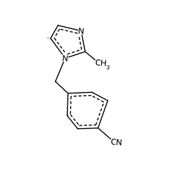 Cc1nc[c]n1Cc1ccc(C#N)cc1